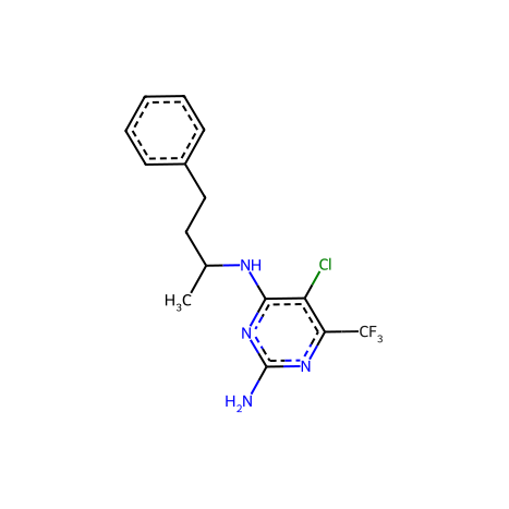 CC(CCc1ccccc1)Nc1nc(N)nc(C(F)(F)F)c1Cl